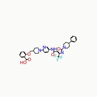 O=C(O)c1ccccc1OCC1CCN(c2ccc(NC(=O)c3oc(N4CCC(c5ccccc5)CC4)nc3C(F)(F)F)cn2)CC1